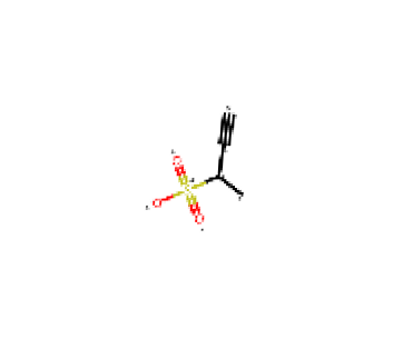 C#CC(C)S([O])(=O)=O